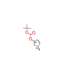 C[C@@H]1C=C[C@H](OC(=O)OC(C)(C)C)C1